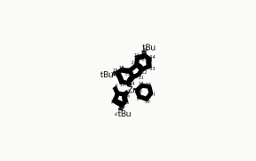 CC1C=C(C(C)(C)C)C=[C]1[Zr](=[C]1CCCCC1)[c]1cc(C(C)(C)C)cc2c1Cc1ccc(C(C)(C)C)cc1-2